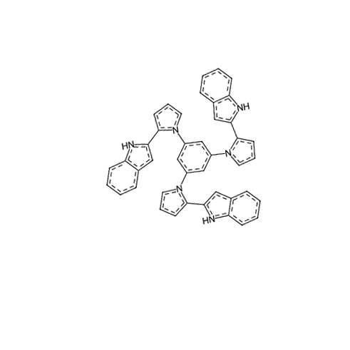 c1ccc2[nH]c(-c3cccn3-c3cc(-n4cccc4-c4cc5ccccc5[nH]4)cc(-n4cccc4-c4cc5ccccc5[nH]4)c3)cc2c1